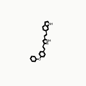 C(=C\c1cc(/C=C/c2ccc3cc[nH]c3c2)[nH]n1)/c1ccc(Oc2ccccc2)cc1